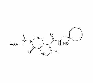 CC(=O)OC[C@@H](C)n1ccc2c(C(=O)NCC3(O)CCCCCC3)c(Cl)ccc2c1=O